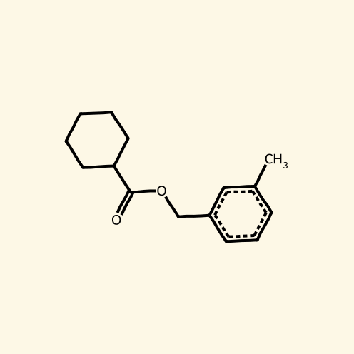 Cc1cccc(COC(=O)C2CCCCC2)c1